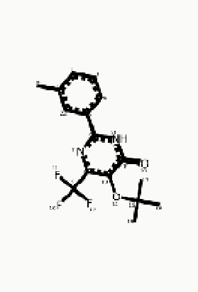 Cc1cccc(-c2nc(C(F)(F)F)c(OC(C)(C)C)c(=O)[nH]2)c1